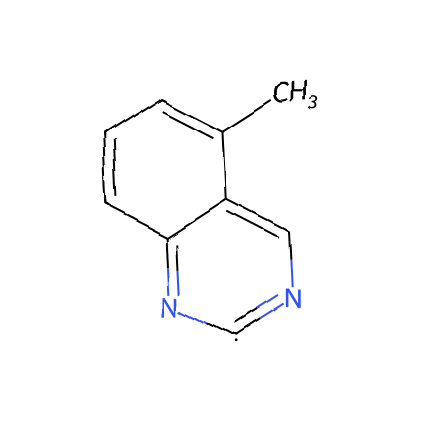 Cc1cccc2n[c]ncc12